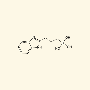 O[Si](O)(O)CCCc1nc2ccccc2[nH]1